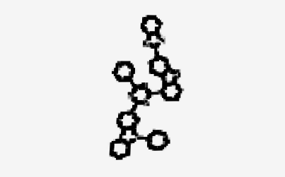 c1ccc(-c2nc(-c3ccc4c5ccccc5n(-c5ccccc5)c4c3)nc(-c3cccc4sc5cc(-c6nc7ccccc7o6)ccc5c34)n2)cc1